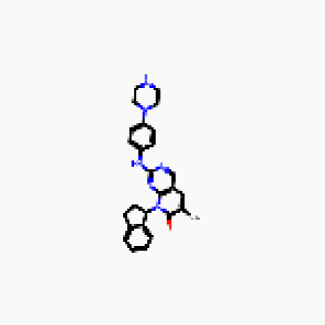 N#Cc1cc2cnc(Nc3ccc(N4CCNCC4)cc3)nc2n(C2CCc3ccccc32)c1=O